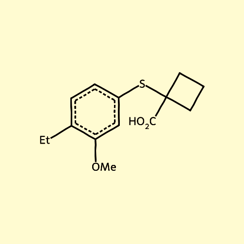 CCc1ccc(SC2(C(=O)O)CCC2)cc1OC